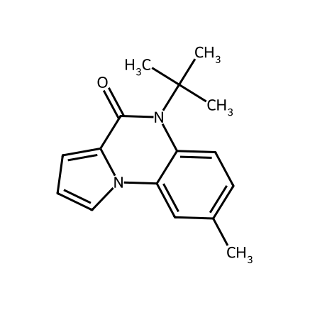 Cc1ccc2c(c1)n1cccc1c(=O)n2C(C)(C)C